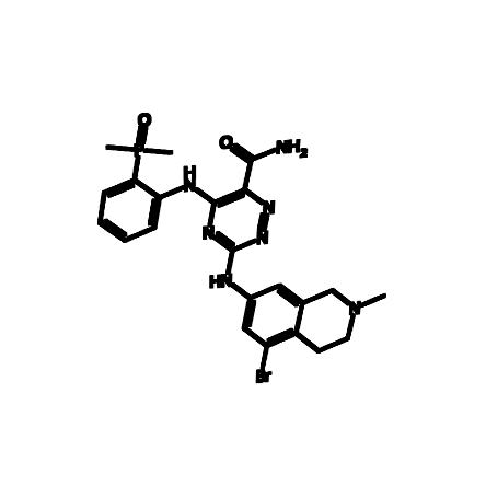 CN1CCc2c(Br)cc(Nc3nnc(C(N)=O)c(Nc4ccccc4P(C)(C)=O)n3)cc2C1